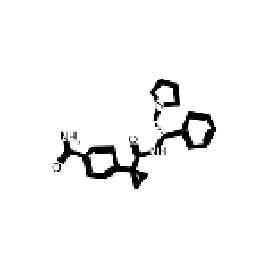 NC(=O)c1ccc(C2(C(=O)N[C@H](CN3CCCC3)c3ccccc3)CC2)cc1